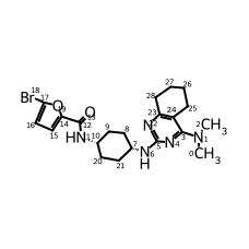 CN(C)c1nc(N[C@H]2CC[C@@H](NC(=O)c3ccc(Br)o3)CC2)nc2c1CCCC2